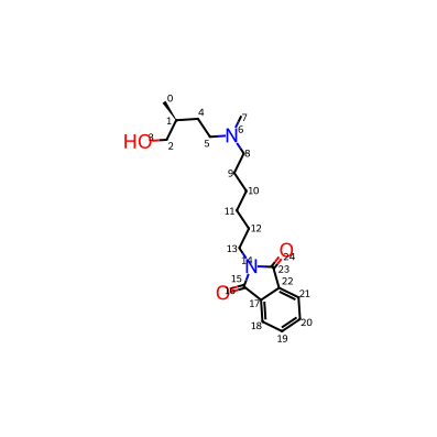 C[C@H](CO)CCN(C)CCCCCCN1C(=O)c2ccccc2C1=O